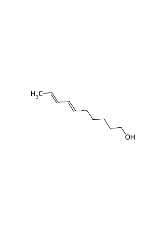 C/C=C/C=C/CCCCCO